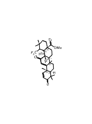 COC(=O)[C@]12CCC(C)(C)C(C(F)(F)F)[C@@H]1[C@H]1C(=O)C=C3[C@@]4(C)C=CC(=O)C(C)(C)[C@@H]4CC[C@@]3(C)[C@]1(C)CC2